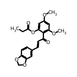 CCC(=O)Oc1cc(OC)cc(OC)c1C(=O)/C=C/c1ccc2c(c1)OCO2